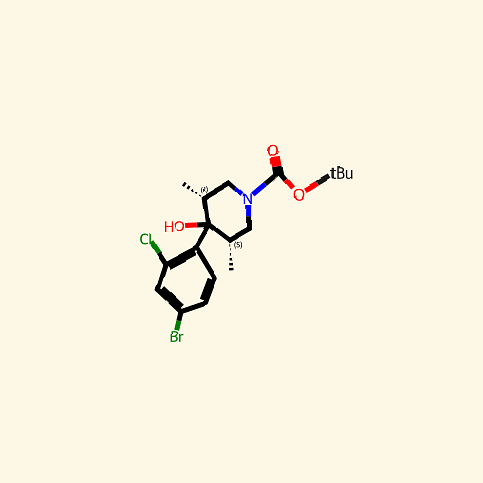 C[C@@H]1CN(C(=O)OC(C)(C)C)C[C@H](C)C1(O)c1ccc(Br)cc1Cl